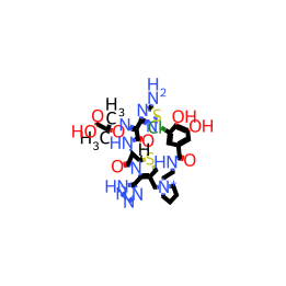 CC(C)(O/N=C(\C(=O)N[C@@H]1C(=O)N2C(c3nnn[nH]3)=C(C[N+]3(CCNC(=O)c4cc(O)c(O)c(Cl)c4)CCCC3)CS[C@H]12)c1nsc(N)n1)C(=O)O